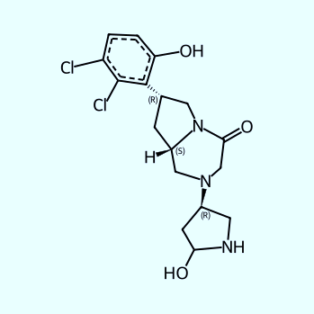 O=C1CN([C@H]2CNC(O)C2)C[C@@H]2C[C@H](c3c(O)ccc(Cl)c3Cl)CN12